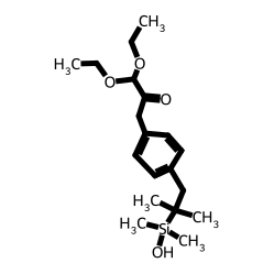 CCOC(OCC)C(=O)Cc1ccc(CC(C)(C)[Si](C)(C)O)cc1